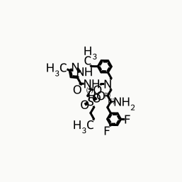 CCCCS(=O)(=O)C[C@@H](NC(=O)c1cc(C)n[nH]1)OCN(Cc1cccc(CC)c1)C[C@@H](O)[C@@H](N)Cc1cc(F)cc(F)c1